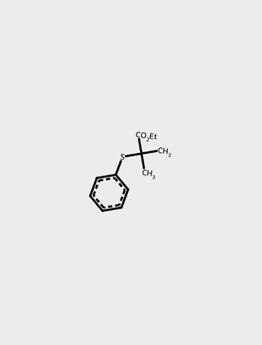 CCOC(=O)C(C)(C)Sc1ccccc1